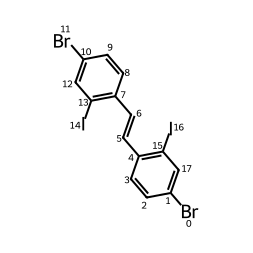 Brc1ccc(C=Cc2ccc(Br)cc2I)c(I)c1